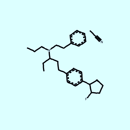 CC#N.CCCN(CCc1ccccc1)C(CC)CCc1ccc(C2CCCC2F)cc1